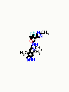 Cc1ncc([C@H](CC(=O)NC[C@H](Cc2ccc3[nH]ncc3c2C)N(C)C)C2(C(F)(F)F)CC2)cn1